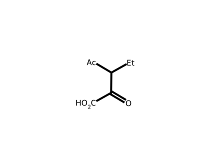 CCC(C(C)=O)C(=O)C(=O)O